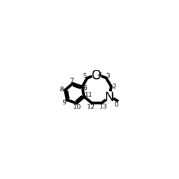 CN1CCOCc2ccccc2CC1